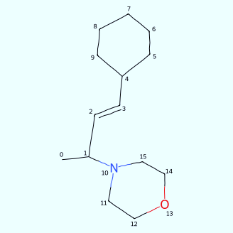 CC(/C=C/C1CCCCC1)N1CCOCC1